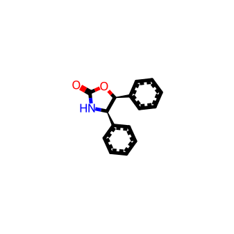 O=C1N[C@H](c2ccccc2)[C@H](c2ccccc2)O1